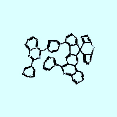 c1ccc(-c2nc(-c3ccc(-c4cccc5c4-c4cc6c(-c7ccccc7)nc7ccccc7c6cc4C54c5ccccc5Oc5ccccc54)cc3)c3ccccc3n2)cc1